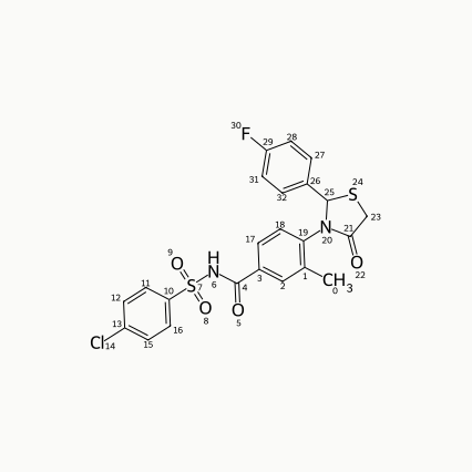 Cc1cc(C(=O)NS(=O)(=O)c2ccc(Cl)cc2)ccc1N1C(=O)CSC1c1ccc(F)cc1